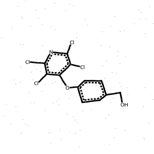 OCc1ccc(Oc2c(Cl)c(Cl)nc(Cl)c2Cl)cc1